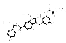 COC(=O)[C@@H](C)Oc1cc(Cl)cc(Cc2c(C)n(C)c3cc(C(=O)N[C@@H](C)c4ccc(C(C)(C)C)cc4)ccc23)c1